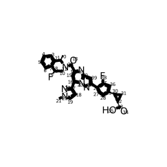 C[C@@H]1c2ccccc2[C@H](F)CN1C(=O)c1cc(-c2ccn(C)n2)n2nc(-c3ccc([C@H]4C[C@@H]4C(=O)O)cc3F)cc2n1